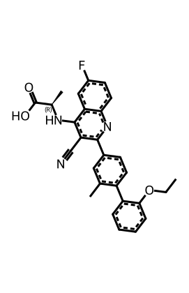 CCOc1ccccc1-c1ccc(-c2nc3ccc(F)cc3c(N[C@H](C)C(=O)O)c2C#N)cc1C